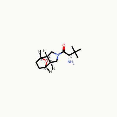 CC(C)(C)[C@H](N)C(=O)N1C[C@@H]2[C@H](C1)[C@@H]1CC[C@H]2O1